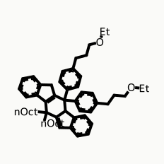 CCCCCCCCC1(CCCCCCCC)C2=Cc3ccccc3C2C(c2ccc(CCCOCC)cc2)(c2ccc(CCCOCC)cc2)C2=C1c1ccccc1C2